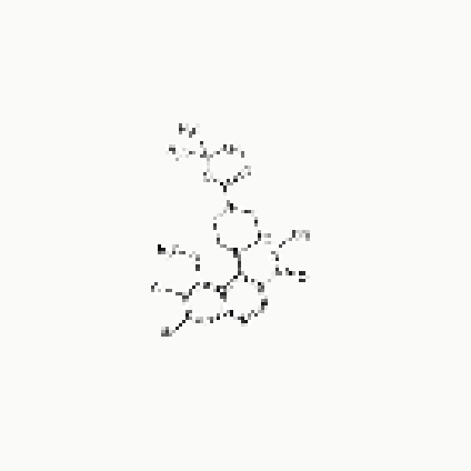 COc1c(Cl)c(Br)cc2ncc([N+](=O)[O-])c(N3CCN(C(=O)OC(C)(C)C)C[C@@H]3CO)c12